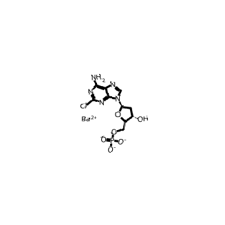 Nc1nc(Cl)nc2c1ncn2[C@H]1C[C@H](O)[C@@H](COP(=O)([O-])[O-])O1.[Ba+2]